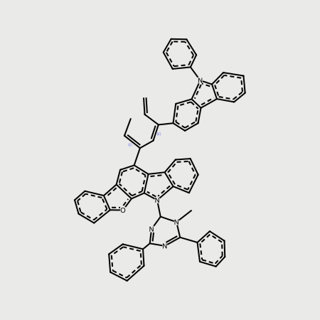 C=C/C(=C\C(=C/C)c1cc2c3ccccc3oc2c2c1c1ccccc1n2C1N=C(c2ccccc2)N=C(c2ccccc2)N1C)c1ccc2c3ccccc3n(-c3ccccc3)c2c1